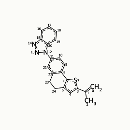 C=C(C)c1cc2c(s1)-c1ccc(-n3nnc4ccccc43)cc1CC2